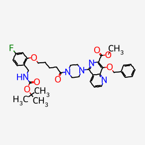 COC(=O)c1nc(N2CCN(C(=O)CCCCOc3cc(F)ccc3CNC(=O)OC(C)(C)C)CC2)c2cccnc2c1OCc1ccccc1